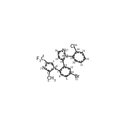 Cc1nc(C(F)(F)F)cn1-c1ccc(Br)cc1-c1ccnn1-c1ccccc1Cl